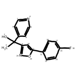 CC(O)(c1ccncc1)c1cc(-c2ccc(F)cc2)on1